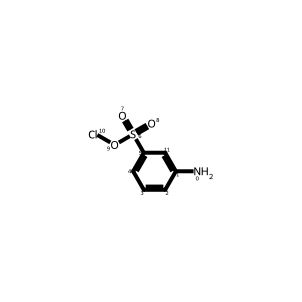 Nc1cccc(S(=O)(=O)OCl)c1